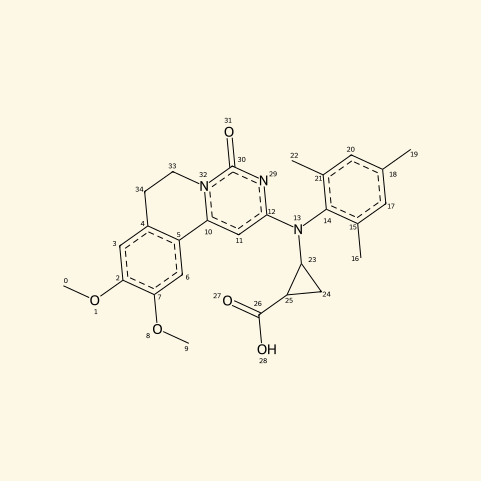 COc1cc2c(cc1OC)-c1cc(N(c3c(C)cc(C)cc3C)C3CC3C(=O)O)nc(=O)n1CC2